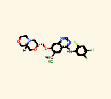 COc1cc2c(Nc3cc(Cl)c(Cl)cc3F)ncnc2cc1OC[C@H]1CN2CCOC[C@H]2CO1.Cl